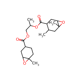 CC(COC(=O)C1CCC2(C)OC2C1)OC(=O)C1CC2OC2(C)CC1C